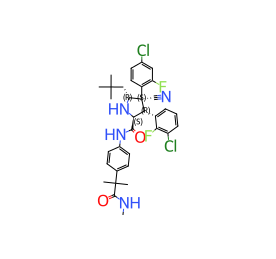 CNC(=O)C(C)(C)c1ccc(NC(=O)[C@H]2N[C@H](CC(C)(C)C)[C@@](C#N)(c3ccc(Cl)cc3F)[C@@H]2c2cccc(Cl)c2F)cc1